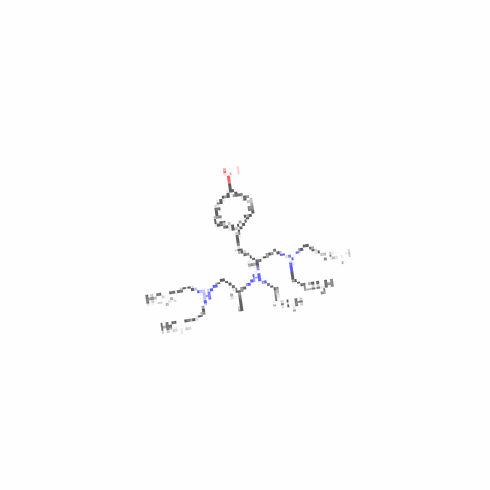 C[C@@H](CN(CC(=O)O)CC(=O)O)N(CC(=O)O)[C@@H](Cc1ccc(O)cc1)CN(CC(=O)O)CC(=O)O